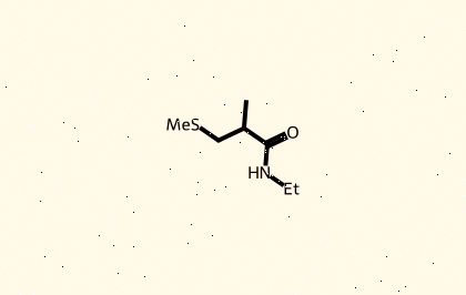 CCNC(=O)C(C)CSC